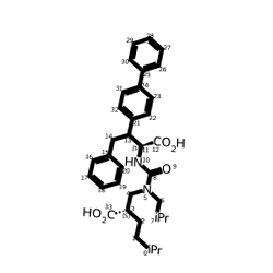 CC(C)CC[C@@H](CN(CC(C)C)C(=O)N[C@H](C(=O)O)C(Cc1ccccc1)c1ccc(-c2ccccc2)cc1)C(=O)O